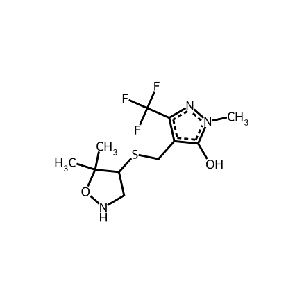 Cn1nc(C(F)(F)F)c(CSC2CNOC2(C)C)c1O